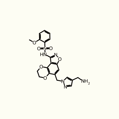 COc1ccccc1S(=O)(=O)Nc1noc2cc(Cn3cc(CN)cn3)c3c(c12)OCCO3